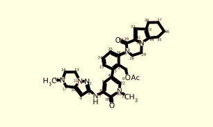 CC(=O)OCc1c(-c2cc(Nc3cc4n(n3)CCN(C)C4)c(=O)n(C)c2)cccc1N1CCn2c(cc3c2CCCC3)C1=O